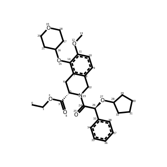 CCOC(=O)[C@@H]1Cc2c(ccc(OC)c2OC2CCOCC2)CN1C(=O)[C@@H](OC1CCCC1)c1ccccc1